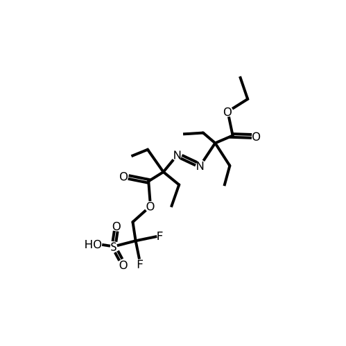 CCOC(=O)C(CC)(CC)N=NC(CC)(CC)C(=O)OCC(F)(F)S(=O)(=O)O